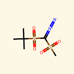 CC(C)(C)S(=O)(=O)C(=[N+]=[N-])S(C)(=O)=O